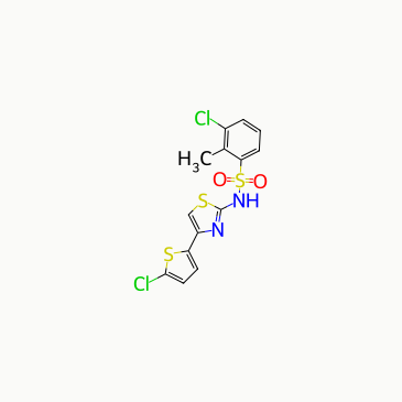 Cc1c(Cl)cccc1S(=O)(=O)Nc1nc(-c2ccc(Cl)s2)cs1